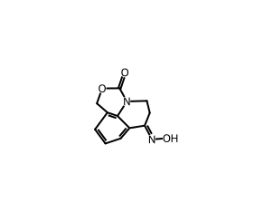 O=C1OCc2cccc3c2N1CCC3=NO